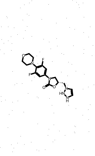 O=C1O[C@@H](CN2C=CNN2)CN1c1cc(F)c(N2CCOCC2)c(F)c1